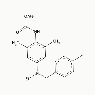 CCN(Cc1ccc(F)cc1)c1cc(C)c(NC(=O)OC)c(C)c1